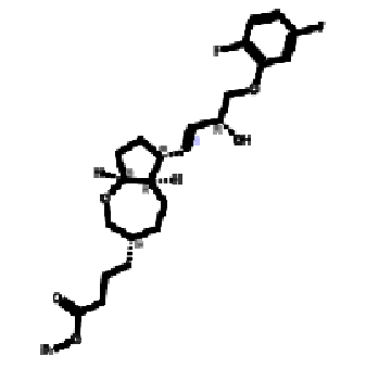 CC(C)OC(=O)CCC[C@H]1CC[C@H]2[C@H](CC[C@@H]2/C=C/[C@@H](O)COc2cc(F)ccc2F)OC1